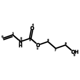 C=CNC(=O)OCCCO